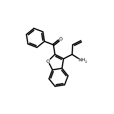 C=CC(N)c1c(C(=O)c2ccccc2)oc2ccccc12